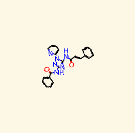 O=C(/C=C/c1ccccc1)Nc1nc(NC(=O)c2ccccc2)nn1-c1ccccn1